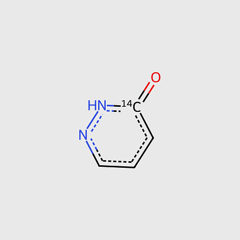 O=[14c]1cccn[nH]1